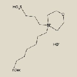 CCCCCCCCCCCCCCCC[N+]1(CCCS(=O)(=O)O)CCOCC1.[OH-]